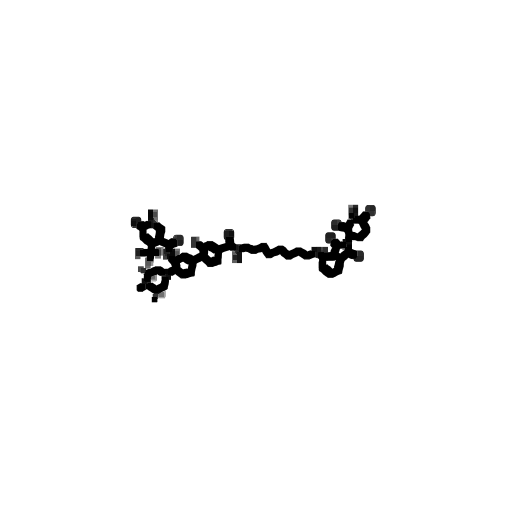 C[C@@H]1CN(c2ccc(-c3ccc(C(=O)NCCCCCCCCNc4cccc5c4C(=O)N(C4CCC(=O)NC4=O)C5=O)cc3F)cc2NC(=O)c2c[nH]c(=O)cc2C(F)(F)F)C[C@H](C)N1C